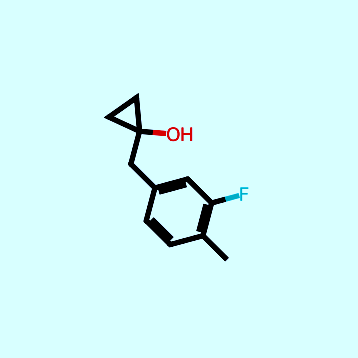 Cc1ccc(CC2(O)CC2)cc1F